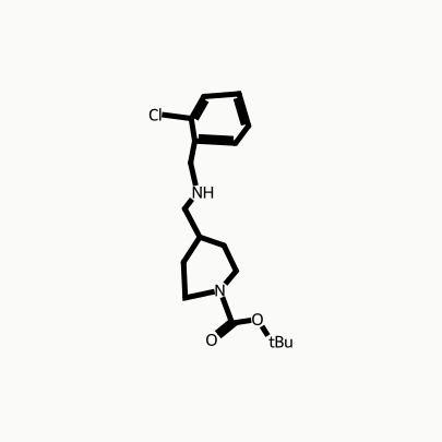 CC(C)(C)OC(=O)N1CCC(CNCc2ccccc2Cl)CC1